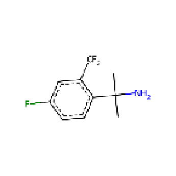 CC(C)(N)c1ccc(F)cc1C(F)(F)F